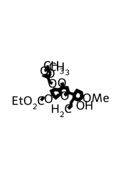 C=CCc1c(-c2cc(=O)c3c(OCC4=COC(C)(C)O4)cc(OCC(=O)OCC)cc3o2)ccc(OC)c1O